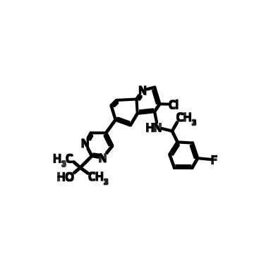 CC(Nc1c(Cl)cnc2ccc(-c3cnc(C(C)(C)O)nc3)cc12)c1cccc(F)c1